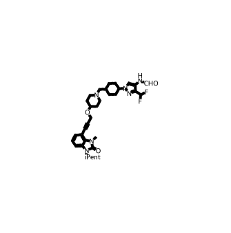 CCCC(C)n1c(=O)n(C)c2c(C#CCOC3CCN(CC4CCC(n5cc(NC=O)c(C(F)F)n5)CC4)CC3)cccc21